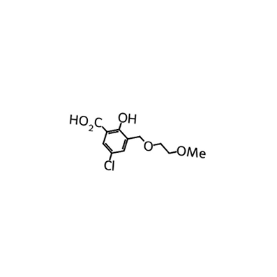 COCCOCc1cc(Cl)cc(C(=O)O)c1O